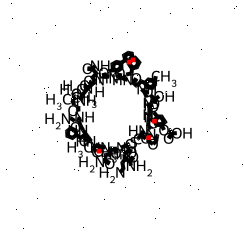 Cc1cccc(CC2NC(=O)[C@H](CC(=O)O)NC(=O)[C@H](Cc3ccc(OCC(=O)O)cc3)NC(=O)C(CN3CCOCC3)NC(=O)CSC[C@@H](C(=O)NC(CCN)C(N)=O)NC(=O)C(CCC(N)=O)NC(=O)C(C(C)C)NC(=O)C(CC3CCCCC3)NC(=O)[C@H](CCN)NC(=O)[C@@H](CC(C)C)NC(=O)[C@H](C)N(C)C(=O)C(CCC(N)=O)NC(=O)[C@H](Cc3ccc(-c4ccccc4)cc3)NC(=O)[C@H](CCc3ccccc3)NC2=O)c1